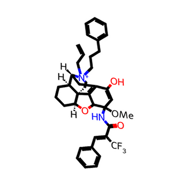 C=CC[N+]1(CCCc2ccccc2)CC[C@@]23C4=C5C[C@@H]1[C@@H]2CCC[C@@H]3OC4C(NC(=O)C(=Cc1ccccc1)C(F)(F)F)(OC)C=C5O